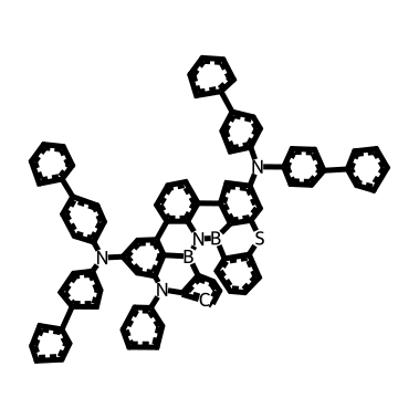 c1ccc(-c2ccc(N(c3ccc(-c4ccccc4)cc3)c3cc4c5c(c3)-c3cccc6c3N(B5c3ccccc3S4)B3c4ccccc4N(c4ccccc4)c4cc(N(c5ccc(-c7ccccc7)cc5)c5ccc(-c7ccccc7)cc5)cc-6c43)cc2)cc1